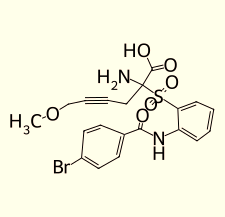 COCC#CCC(N)(C(=O)O)S(=O)(=O)c1ccccc1NC(=O)c1ccc(Br)cc1